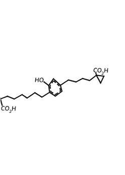 O=C(O)C1(CCCCCCc2ccc(CCCCC3(C(=O)O)CC3)cc2O)CC1